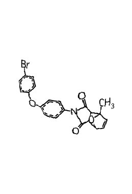 CC12C=CC(O1)C1C(=O)N(c3ccc(Oc4ccc(Br)cc4)cc3)C(=O)C12